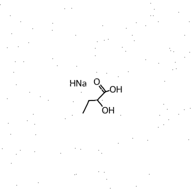 CCC(O)C(=O)O.[NaH]